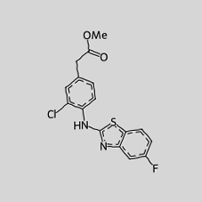 COC(=O)Cc1ccc(Nc2nc3cc(F)ccc3s2)c(Cl)c1